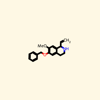 C=CC1NCCc2cc(OCc3ccccc3)c(OC)cc21